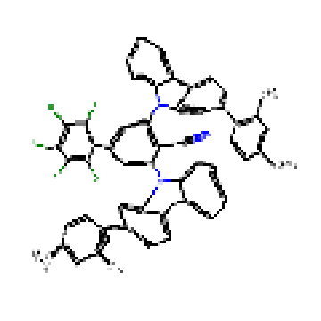 Cc1ccc(-c2ccc3c4ccccc4n(-c4cc(-c5c(F)c(F)c(F)c(F)c5F)cc(-n5c6ccccc6c6ccc(-c7ccc(C)cc7C)cc65)c4C#N)c3c2)c(C)c1